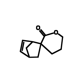 O=C1OCCCC12CC1C=CC2C1